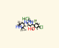 CN(c1ccc(-c2c(O)cc(Cl)cc2F)nn1)C1CC(C)(C)NC(C)(C)C1.Cl